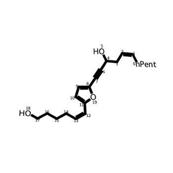 CCCCC/C=C\CC(O)C#Cc1ccc(/C=C\CCCCO)o1